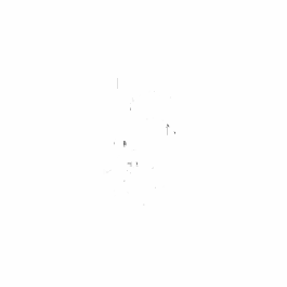 O=C(C1CNc2ccc(F)cc21)C12CC3CC(CC(C3)C1)C2